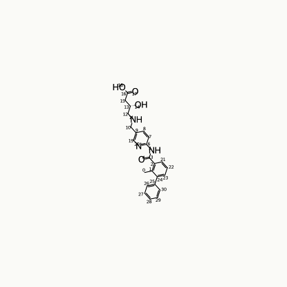 Cc1c(C(=O)Nc2ccc(CNC[C@@H](O)CC(=O)O)cn2)cccc1-c1ccccc1